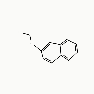 OCOc1ccc2ccccc2c1